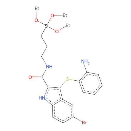 CCO[Si](CCCNC(=O)c1[nH]c2ccc(Br)cc2c1Sc1ccccc1N)(OCC)OCC